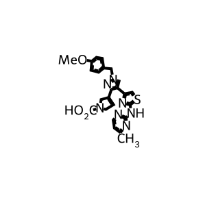 COc1ccc(Cn2cc(-c3csc(Nc4nccc(C)n4)n3)c(C3=CCN(C(=O)O)C3)n2)cc1